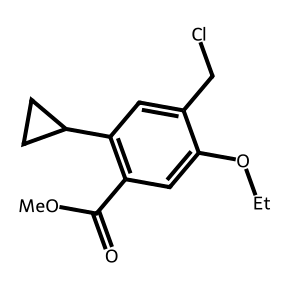 CCOc1cc(C(=O)OC)c(C2CC2)cc1CCl